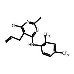 C=CCc1c(Cl)nc(C)nc1Nc1ccc(C(F)(F)F)cc1C(F)(F)F